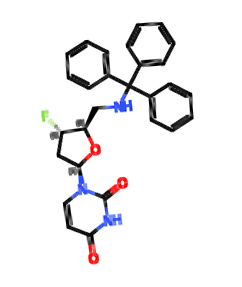 O=c1ccn([C@H]2C[C@H](F)[C@@H](CNC(c3ccccc3)(c3ccccc3)c3ccccc3)O2)c(=O)[nH]1